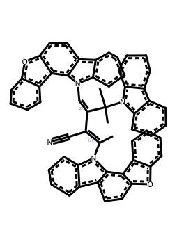 C/C(=C(C#N)\C(=C\n1c2ccccc2c2ccc3oc4ccccc4c3c21)C(C)(C)n1c2ccccc2c2ccccc21)n1c2ccccc2c2ccc3oc4ccccc4c3c21